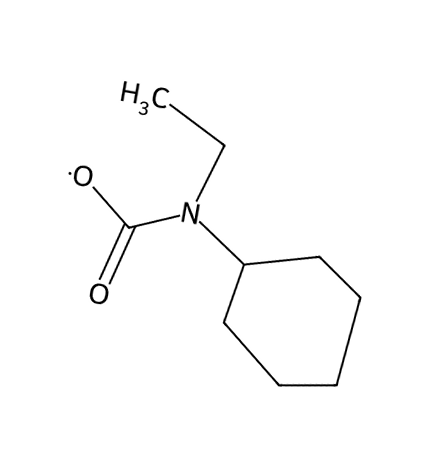 CCN(C([O])=O)C1CCCCC1